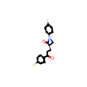 O=C(CC[C@@H]1CN(c2ccc(F)cc2)C1=O)c1ccc(F)cc1